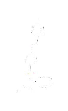 O=C(NO)C1(NS(=O)(=O)c2ccc(OCc3ccc(F)cc3)cc2)CC2CCC(C1)O2